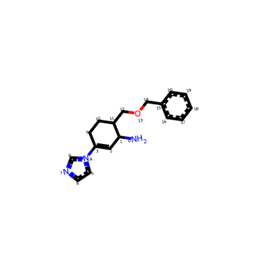 NC1C=C(n2ccnc2)CCC1COCc1ccccc1